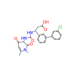 CC1=CC(=O)C(NC(=O)NC(CC(=O)O)c2cccc(-c3cccc(Cl)c3)c2)C(=O)N1C